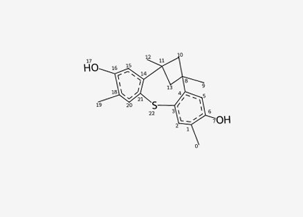 Cc1cc2c(cc1O)C1(C)CC(C)(C1)c1cc(O)c(C)cc1S2